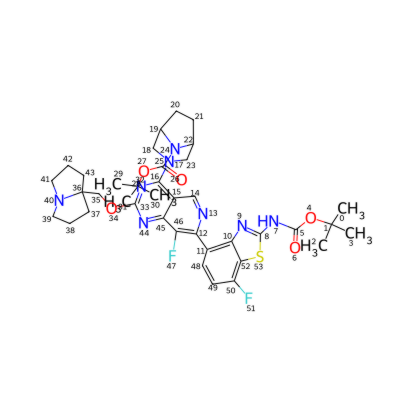 CC(C)(C)OC(=O)Nc1nc2c(-c3ncc4c(N5CC6CCC(C5)N6C(=O)OC(C)(C)C)nc(OCC56CCCN5CCC6)nc4c3F)ccc(F)c2s1